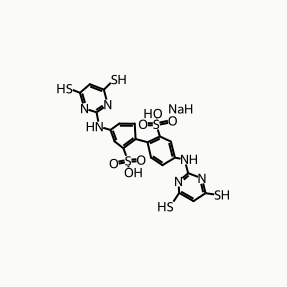 O=S(=O)(O)c1cc(Nc2nc(S)cc(S)n2)ccc1-c1ccc(Nc2nc(S)cc(S)n2)cc1S(=O)(=O)O.[NaH]